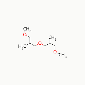 COCC(C)COCC(C)COC